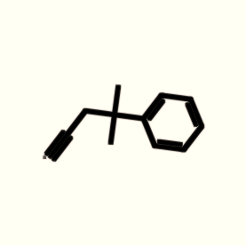 [C]#CCC(C)(C)c1ccccc1